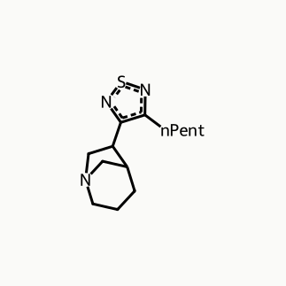 CCCCCc1nsnc1C1CN2CCCC1C2